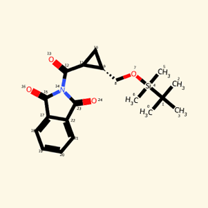 CC(C)(C)[Si](C)(C)OC[C@H]1CC1C(=O)N1C(=O)c2ccccc2C1=O